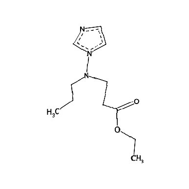 CCCN(CCC(=O)OCC)n1ccnc1